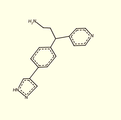 NCCC(c1ccncc1)c1ccc(-c2cn[nH]c2)cc1